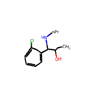 CCCNC(c1ccccc1Cl)C(C)O